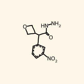 NNC(=O)C(c1cccc([N+](=O)[O-])c1)C1COC1